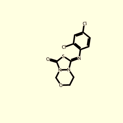 O=c1sc(=Nc2ccc(Cl)cc2Cl)n2n1COCC2